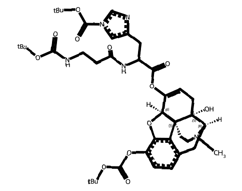 CN1CC[C@]23c4c5ccc(OC(=O)OC(C)(C)C)c4O[C@H]2C(OC(=O)C(Cc2cn(C(=O)OC(C)(C)C)cn2)NC(=O)CCNC(=O)OC(C)(C)C)=CC[C@@]3(O)[C@H]1C5